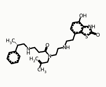 C=C(C)CN(CCNCCc1ccc(O)c2[nH]c(=O)sc12)C(=O)CCNC[C@@H](C)c1ccccc1